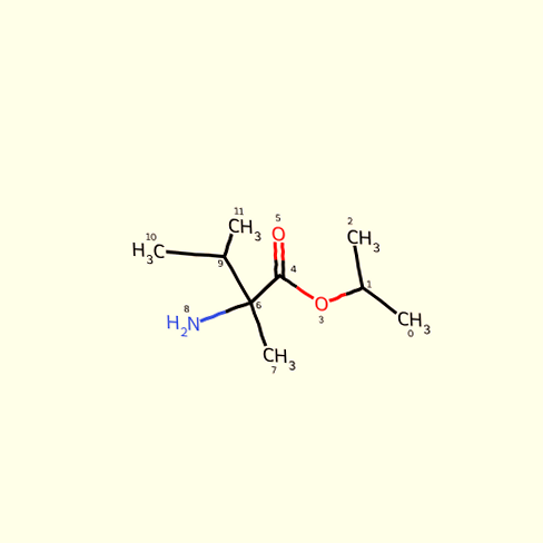 CC(C)OC(=O)C(C)(N)C(C)C